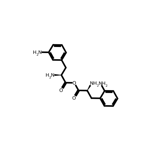 Nc1cccc(C[C@H](N)C(=O)OC(=O)[C@@H](N)Cc2ccccc2N)c1